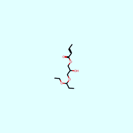 [CH2]CC(OCC)OCC(O)COC(=O)C=CC